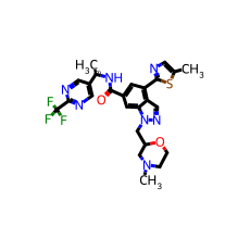 Cc1cnc(-c2cc(C(=O)N[C@H](C)c3cnc(C(F)(F)F)nc3)cc3c2cnn3CC2CN(C)CCO2)s1